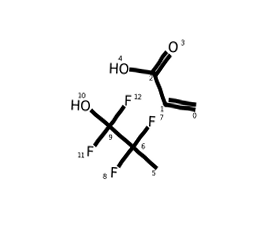 C=CC(=O)O.CC(F)(F)C(O)(F)F